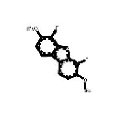 CCCCOc1ccc2c(sc3c(F)c(OC)ccc32)c1F